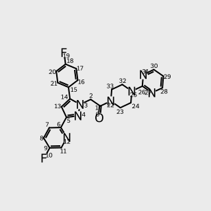 O=C(Cn1nc(-c2ccc(F)cn2)cc1-c1ccc(F)cc1)N1CCN(c2ncccn2)CC1